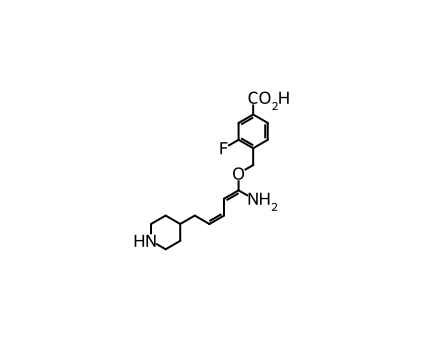 N/C(=C\C=C/CC1CCNCC1)OCc1ccc(C(=O)O)cc1F